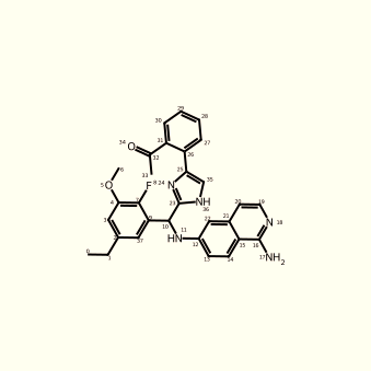 CCc1cc(OC)c(F)c(C(Nc2ccc3c(N)nccc3c2)c2nc(-c3ccccc3C(C)=O)c[nH]2)c1